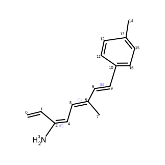 C=C\C(N)=C/C=C(C)/C=C/c1ccc(C)cc1